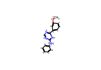 COc1cccc(-c2ncnc(Nc3ccccc3)n2)c1